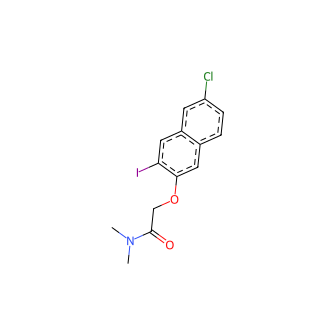 CN(C)C(=O)COc1cc2ccc(Cl)cc2cc1I